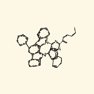 C=C(/C=C\C=C/C)c1nc(C2=CC=CCC2)nc(-n2c3ccccc3c3c(-c4ccccc4)cc4c5ccccc5n(-c5ccccc5)c4c32)n1